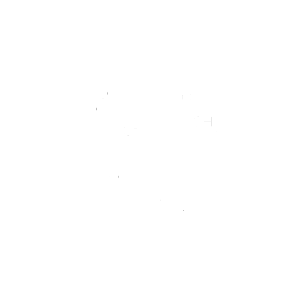 C=CC=C.O=[CH][Cr]([CH]=O)([CH]=O)[CH]=O